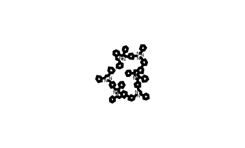 c1ccc(-c2cc(-c3ccccc3)nc(-c3ccc(-c4nn5c(-c6ccccc6)cc6cc(-c7cccc(-c8nc(-c9ccccc9)cc(-c9ccc(-c%10nn%11c(-c%12ccccc%12)cc%12cc(-c%13cccc(-c%14nc(-c%15ccccc%15)nc(-c%15ccc(-c%16nn%17c(-c%18ccccc%18)cc%18ccccc%18c%17c%16-c%16ccccc%16)cc%15)n%14)c%13)ccc%12c%11c%10-c%10ccccc%10)cc9)n8)c7)ccc6c5c4-c4ccccc4)cc3)n2)cc1